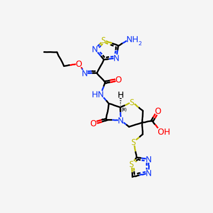 CCCON=C(C(=O)NC1C(=O)N2CC(CSc3nncs3)(C(=O)O)CS[C@H]12)c1nsc(N)n1